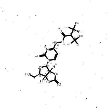 O=C1O[C@@H]2[C@H](O1)[C@@H](CO)O[C@H]2n1ccc(NOC(=O)C(C(F)(F)F)C(F)(F)F)nc1=O